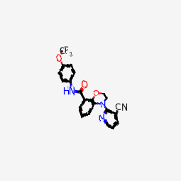 N#Cc1cccnc1N1CCOc2c(C(=O)Nc3ccc(OC(F)(F)F)cc3)cccc21